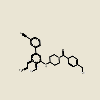 C=C/C=c1/cc(-c2cccc(C#N)c2)cc(NC2CCN(C(=O)C3C=CC(CO)=CC3)CC2)/c1=C/N